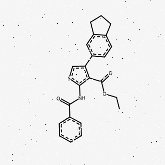 CCOC(=O)c1c(-c2ccc3c(c2)CCC3)csc1NC(=O)c1ccccc1